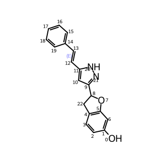 Oc1ccc2c(c1)OC(c1cc(/C=C/c3ccccc3)[nH]n1)C2